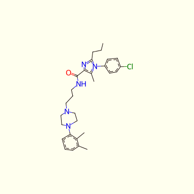 CCCc1nc(C(=O)NCCCN2CCN(c3cccc(C)c3C)CC2)c(C)n1-c1ccc(Cl)cc1